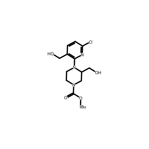 CC(C)(C)OC(=O)N1CCN(c2nc(Cl)ccc2CO)C(CO)C1